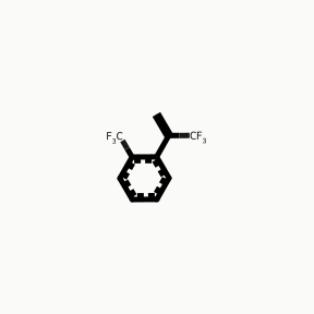 C=C(c1ccccc1C(F)(F)F)C(F)(F)F